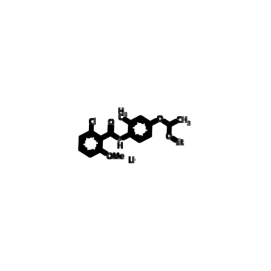 CCOC(C)Oc1ccc(PC(=O)c2c(Cl)cccc2OC)c(C)c1.[Li]